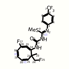 CS/C(=N\c1ccc(C(F)(F)F)cc1)NC(=O)NC1=C=C(F)/C=C\C=C/C1(C)CF